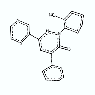 N#Cc1ccccc1-n1nc(-c2cnccn2)cc(-c2ccccc2)c1=O